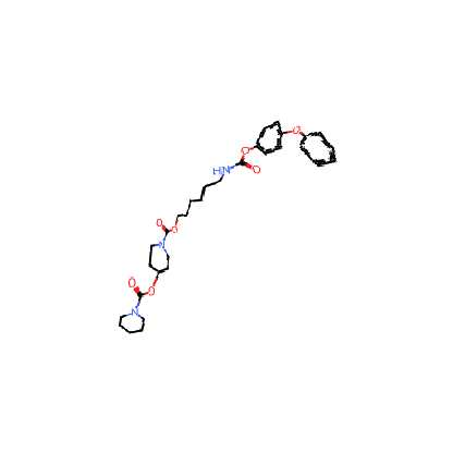 O=C(NCCCCCCOC(=O)N1CCC(OC(=O)N2CCCCC2)CC1)Oc1ccc(Oc2ccccc2)cc1